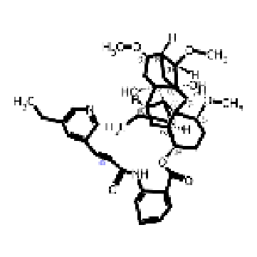 CCc1cncc(/C=C/C(=O)Nc2ccccc2C(=O)O[C@@]23CC[C@H](OC)[C@]45C([C@@H](C[C@H]24)[C@@]2(O)C[C@H](OC)[C@H]4C[C@@H]5[C@]2(O)[C@H]4OC)N(CC)C3)c1